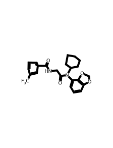 O=C(NCC(=O)N(c1cccc2c1OCO2)C1CCCCC1)c1cccc(C(F)(F)F)c1